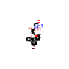 C=CC[C@H](OC(c1ccccc1)(c1ccccc1)c1ccc(OC)cc1)[C@@H]1O[C@@H](n2ccc(=O)[nH]c2=O)[C@H](OC)[C@@H]1C